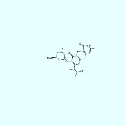 Cc1cc(C#N)c(C)c(Oc2c(C(C)C(F)P)ncn(Cc3c(C)cc(C)[nH]c3=O)c2=O)c1